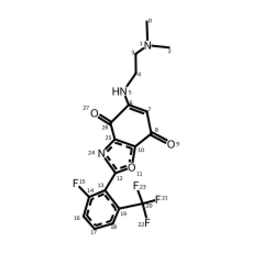 CN(C)CCNC1=CC(=O)c2oc(-c3c(F)cccc3C(F)(F)F)nc2C1=O